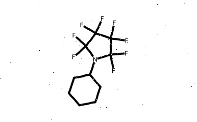 FC1(F)N(C2CCCCC2)C(F)(F)C(F)(F)C1(F)F